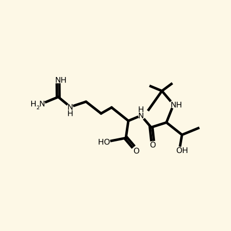 CC(O)C(NC(C)(C)C)C(=O)NC(CCCNC(=N)N)C(=O)O